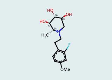 COc1ccc(CCN2C[C@H](O)[C@@H](O)[C@H](O)[C@H]2C)c(F)c1